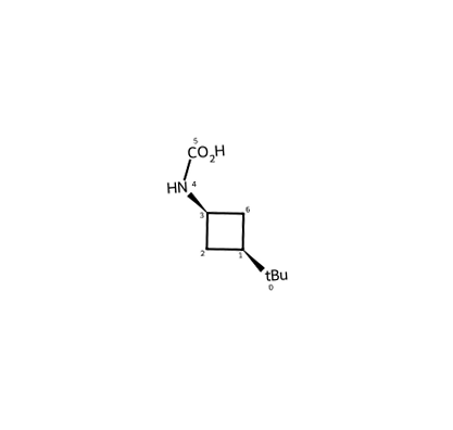 CC(C)(C)[C@H]1C[C@@H](NC(=O)O)C1